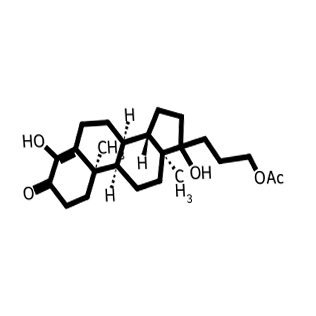 CC(=O)OCCCC1(O)CC[C@H]2[C@@H]3CCC4=C(O)C(=O)CC[C@]4(C)[C@@H]3CC[C@@]21C